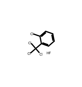 Clc1ccccc1C(Cl)(Cl)Cl.F